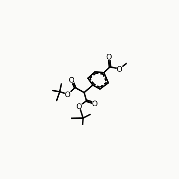 COC(=O)c1ccc(C(C(=O)OC(C)(C)C)C(=O)OC(C)(C)C)cc1